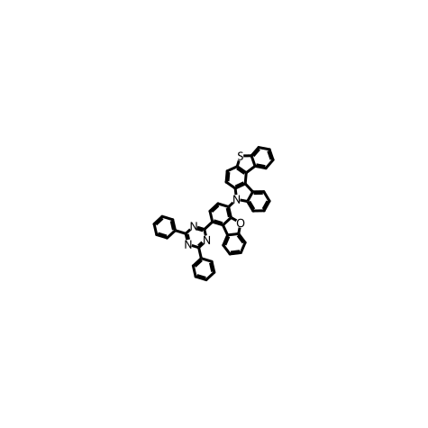 c1ccc(-c2nc(-c3ccccc3)nc(-c3ccc(-n4c5ccccc5c5c6c(ccc54)sc4ccccc46)c4oc5ccccc5c34)n2)cc1